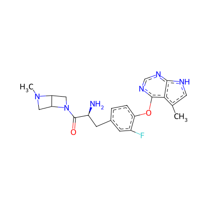 Cc1c[nH]c2ncnc(Oc3ccc(C[C@H](N)C(=O)N4CC5C4CN5C)cc3F)c12